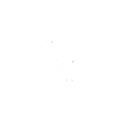 CC(F)(F)C(=O)OCC(=O)OC(CC(=O)OCC(=O)OC12CC3CC(CC(O)(C3)C1)C2)C(=O)OCC(=O)OC12CC3CC(CC(O)(C3)C1)C2